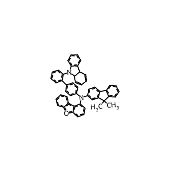 CC1(C)c2ccccc2-c2ccc(N(c3ccc(-c4ccccc4N4c5ccccc5C5C=CC=CC54)cc3)c3cccc4oc5ccccc5c34)cc21